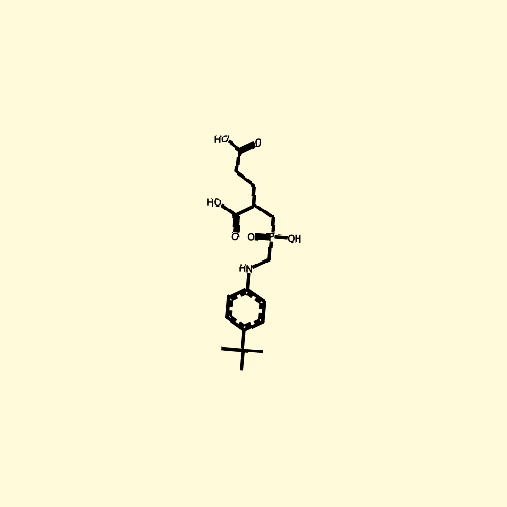 CC(C)(C)c1ccc(NCP(=O)(O)CC(CCC(=O)O)C(=O)O)cc1